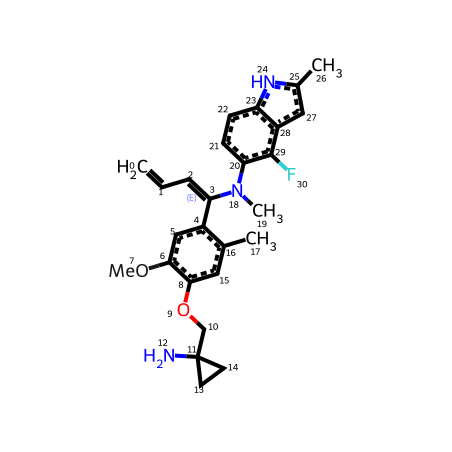 C=C/C=C(\c1cc(OC)c(OCC2(N)CC2)cc1C)N(C)c1ccc2[nH]c(C)cc2c1F